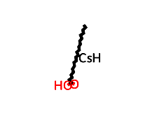 CCCCCCCCCCCCCCCCCCCCCC(=O)O.[CsH]